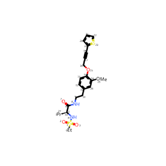 CCS(=O)(=O)N[C@H](C(=O)NCCc1ccc(OCC#Cc2cccs2)c(OC)c1)C(C)C